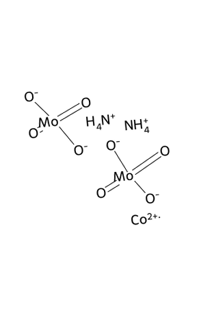 [Co+2].[NH4+].[NH4+].[O]=[Mo](=[O])([O-])[O-].[O]=[Mo](=[O])([O-])[O-]